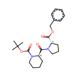 CC(C)(C)OC(=O)N1CCCC[C@@H]1C(=O)N1CCC[C@H]1C(=O)OCc1ccccc1